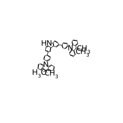 CC1(C)c2ccccc2N(c2ccc(-c3ccc4[nH]c5ccc(-c6ccc(N7c8ccccc8C(C)(C)c8ccccc87)cc6)cc5c4c3)cc2)c2ccccc21